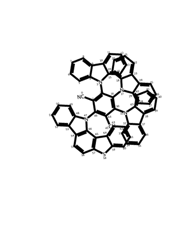 N#Cc1c(-n2c3ccccc3c3ccccc32)c(-n2c3ccccc3c3ccccc32)c(-n2c3ccccc3c3ccccc32)c(C#N)c1-n1c2ccccc2c2ccc3sc4ccccc4c3c21